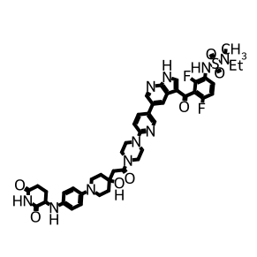 CCN(C)S(=O)(=O)Nc1ccc(F)c(C(=O)c2c[nH]c3ncc(-c4ccc(N5CCN(C(=O)CC6(O)CCN(c7ccc(NC8CCC(=O)NC8=O)cc7)CC6)CC5)nc4)cc23)c1F